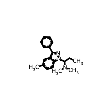 CCC(N(C)C)n1nc(-c2ccccc2)c2cc(C)ccc21